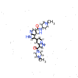 CN1CCC(NC(=O)c2cnc3[nH]cc(-c4ccn5ncc(C(=O)N6CCN(C)CC6)c5c4)c3c2)CC1